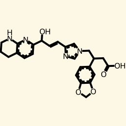 O=C(O)CC(Cn1cnc(/C=C/C(O)c2ccc3c(n2)NCCC3)c1)c1ccc2c(c1)OCO2